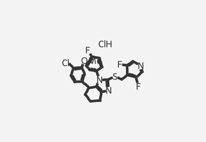 COc1cc(C2CCCc3nc(SCc4c(F)cncc4F)n(-c4ccc(F)cc4)c32)ccc1Cl.Cl